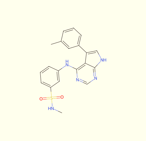 CNS(=O)(=O)c1cccc(Nc2ncnc3[nH]cc(-c4cccc(C)c4)c23)c1